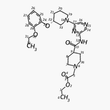 CCOC(=O)CN1CCC(C(=O)Nc2cncc(N3CCC[C@@H](Oc4ccccc4OCC)C3)n2)CC1